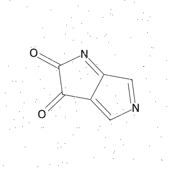 O=c1nc2cncc-2c1=O